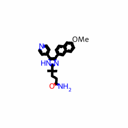 COc1ccc2cc(-c3nc(C(C)(C)CCC(N)=O)[nH]c3-c3ccncc3)ccc2c1